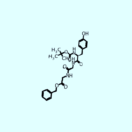 CC(C)(C)OC(=O)N[C@@H](Cc1ccc(O)cc1)C(=O)NCC(=O)NCC(=O)OCc1ccccc1